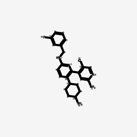 Nc1cc(-c2nc(NCc3cccc(F)c3)ccc2C2CCC(N)CC2)c(Cl)cn1